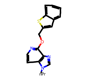 CCCn1cnc2c(OCc3cc4ccccc4s3)nccc21